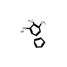 Cc1cccc(S)c1C.F.c1ccccc1